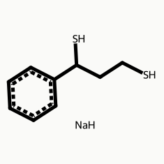 SCCC(S)c1ccccc1.[NaH]